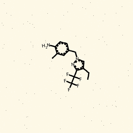 CCc1cn(Cc2ccc(N)c(C)c2)nc1C(F)(F)C(F)(F)F